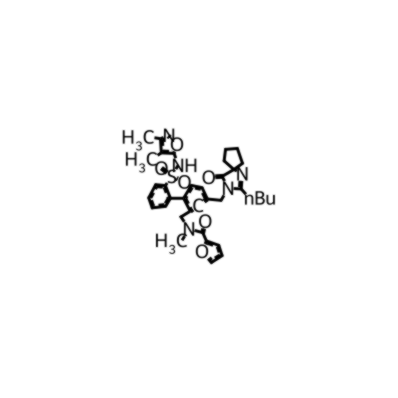 CCCCC1=NC2(CCCC2)C(=O)N1Cc1ccc(-c2ccccc2S(=O)(=O)Nc2onc(C)c2C)c(CN(C)C(=O)c2ccco2)c1